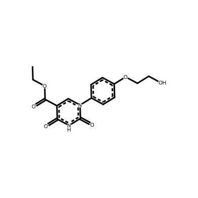 CCOC(=O)c1cn(-c2ccc(OCCO)cc2)c(=O)[nH]c1=O